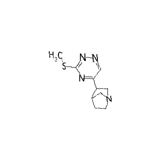 CSc1nncc(C2CN3CCC2C3)n1